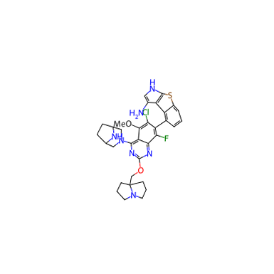 COc1c(Cl)c(-c2cccc3sc4[nH]cc(N)c4c23)c(F)c2nc(OCC34CCCN3CCC4)nc(N3CC4CCC(C3)N4)c12